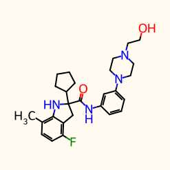 Cc1ccc(F)c2c1NC(C(=O)Nc1cccc(N3CCN(CCO)CC3)c1)(C1CCCC1)C2